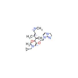 C=C(C(=O)/C(=C\N(C)CC1CC1)OCCN1C=CN2CCN=C21)/C(C)=C/C=N\C